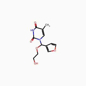 Cc1cn(C(OCCO)c2ccoc2)c(=O)[nH]c1=O